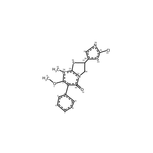 COc1c(-c2ccccc2)c(=O)n2c([n+]1C)SC(c1cnc(Cl)s1)C2